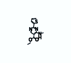 CCOC(=O)c1cnc(-c2cccs2)nc1NC